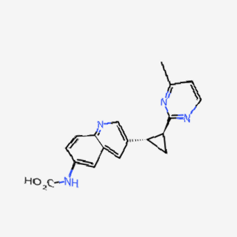 Cc1ccnc([C@H]2C[C@@H]2c2cnc3ccc(NC(=O)O)cc3c2)n1